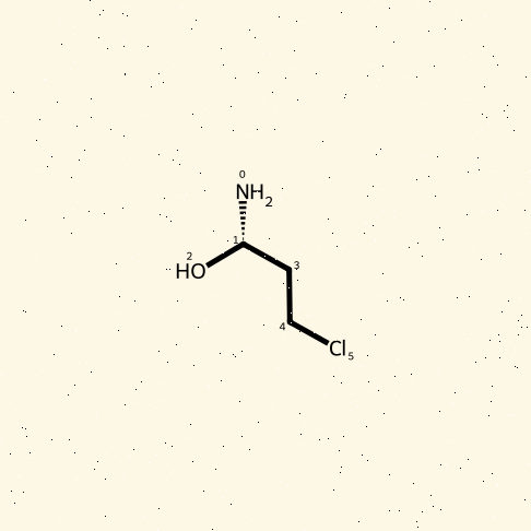 N[C@@H](O)CCCl